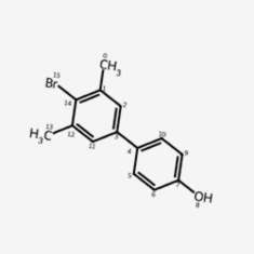 Cc1cc(-c2ccc(O)cc2)cc(C)c1Br